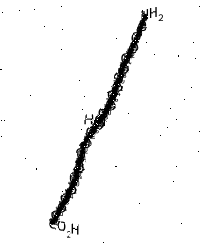 Cl.NCCOCCOCCOCCOCCOCCOCCOCCOCCOCCOCCOCCOCCOCCOCCOCCOCCOCCOCCOCCOCCC(=O)O